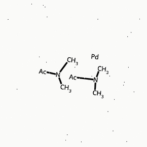 CC(=O)N(C)C.CC(=O)N(C)C.[Pd]